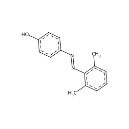 Cc1cccc(C)c1/N=N/c1ccc(O)cc1